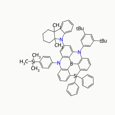 CC(C)(C)c1cc(N2c3cc(N4c5ccccc5C5(C)CCCCC45C)cc4c3B3c5c(cccc5[Si](c5ccccc5)(c5ccccc5)c5cccc2c53)N4c2ccc([Si](C)(C)C)cc2)cc(C(C)(C)C)c1